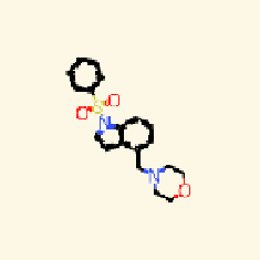 O=S(=O)(c1ccccc1)n1ccc2c(CN3CCOCC3)cccc21